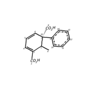 CC1C(C(=O)O)=CC=C[C@@]1(C(=O)O)c1ccccc1